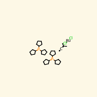 C1CCC(P(C2CCCC2)C2CCCC2)C1.C1CCC(P(C2CCCC2)C2CCCC2)C1.C=C=C(C)C.[Cl][Ru][Cl]